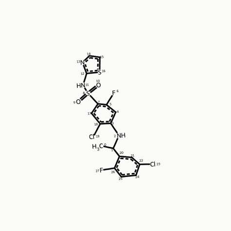 CC(Nc1cc(F)c(S(=O)(=O)Nc2nccs2)cc1Cl)c1cc(Cl)ccc1F